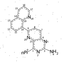 CCCc1nc(N)nc2ccc(-c3cccc4cccnc34)nc12